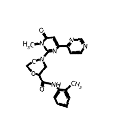 Cc1ccccc1NC(=O)C1CN(c2nc(-c3ccncn3)cc(=O)n2C)CCO1